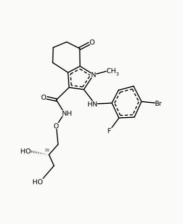 Cn1c(Nc2ccc(Br)cc2F)c(C(=O)NOC[C@@H](O)CO)c2c1C(=O)CCC2